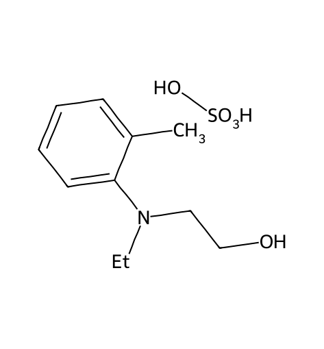 CCN(CCO)c1ccccc1C.O=S(=O)(O)O